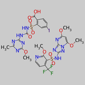 COc1cc(OC)n2nc(NS(=O)(=O)c3c(C(F)(F)F)ccnc3OC)nc2n1.COc1nc(C)nc(NC(=O)NS(=O)(=O)c2cc(I)ccc2C(=O)O)n1